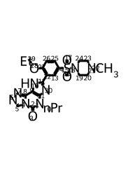 CCCn1c(=O)n2cnnc2c2[nH]c(-c3cc(S(=O)(=O)N4CCN(C)CC4)ccc3OCC)nc21